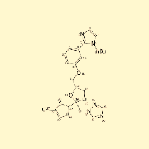 CCCCn1ccnc1-c1cccc(OCC2COC(Cn3cncn3)(c3ccc(Cl)s3)O2)c1